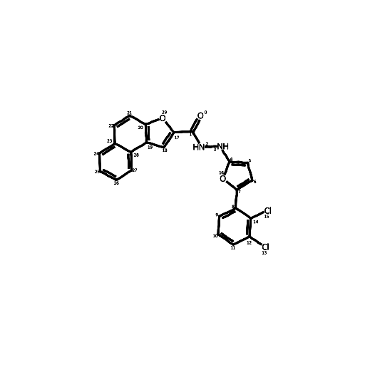 O=C(NNc1ccc(-c2cccc(Cl)c2Cl)o1)c1cc2c(ccc3ccccc32)o1